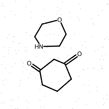 C1COCCN1.O=C1CCCC(=O)C1